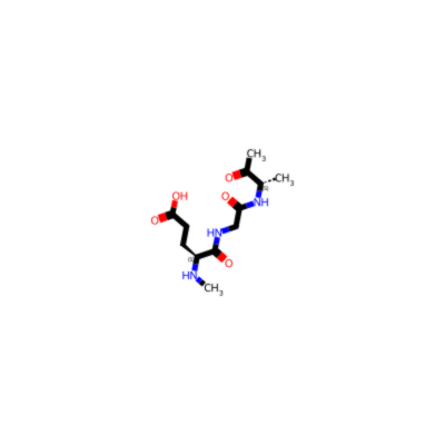 CN[C@@H](CCC(=O)O)C(=O)NCC(=O)N[C@@H](C)C(C)=O